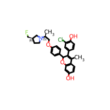 CC1=C(c2ccc(O)c(Cl)c2)C(c2ccc(OC[C@H](C)N3CC[C@@H](CF)C3)cc2)Oc2cc(O)ccc21